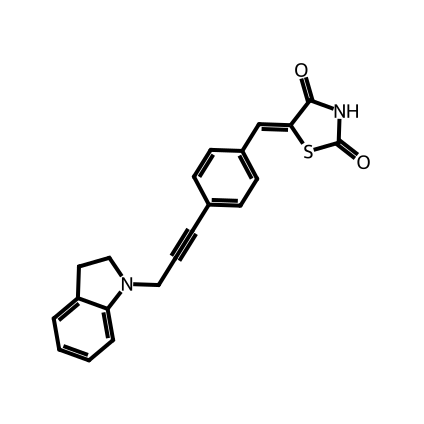 O=C1NC(=O)/C(=C/c2ccc(C#CCN3CCc4ccccc43)cc2)S1